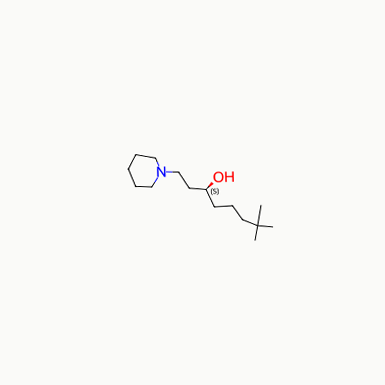 CC(C)(C)CCC[C@H](O)CCN1CCCCC1